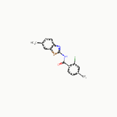 O=C(O)c1ccc2nc(NC(=O)c3ccc(C(F)(F)F)cc3F)sc2c1